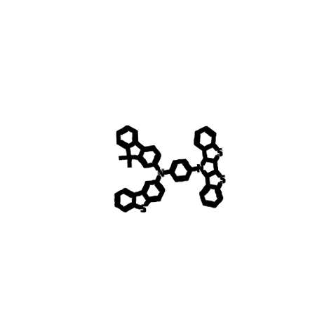 CC1(C)c2ccccc2-c2ccc(N(c3ccc(N4C5c6ccccc6SC5C5SC6C=CC=CC6C54)cc3)c3ccc4sc5ccccc5c4c3)cc21